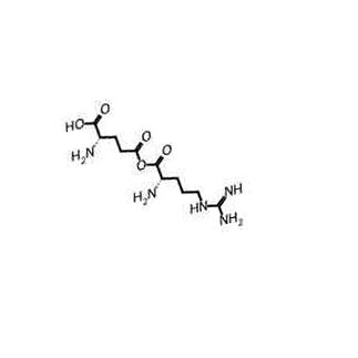 N=C(N)NCCC[C@H](N)C(=O)OC(=O)CC[C@H](N)C(=O)O